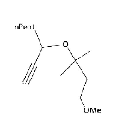 [C]#CC(CCCCC)OC(C)(C)CCOC